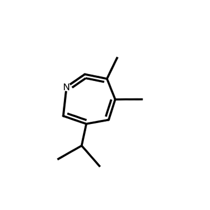 CC1=C=NC=C(C(C)C)C=C1C